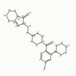 O=C(c1ccc(F)cc1N1CCOCC1)C1CCN(CCn2nc3n(c2=O)CCCC3)CC1